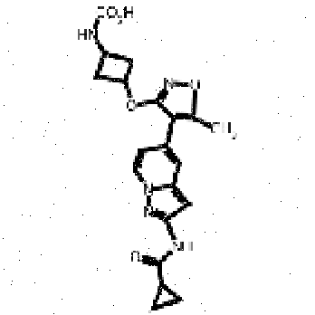 Cc1onc(OC2CC(NC(=O)O)C2)c1-c1ccn2nc(NC(=O)C3CC3)cc2c1